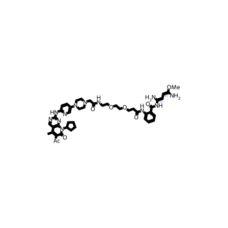 CO/C(N)=C/C=C(\N)NC(=O)c1ccccc1NC(=O)CCOCCOCCNC(=O)CN1CCN(c2ccc(Nc3ncc4c(C)c(C(C)=O)c(=O)n(C5CCCC5)c4n3)nc2)CC1